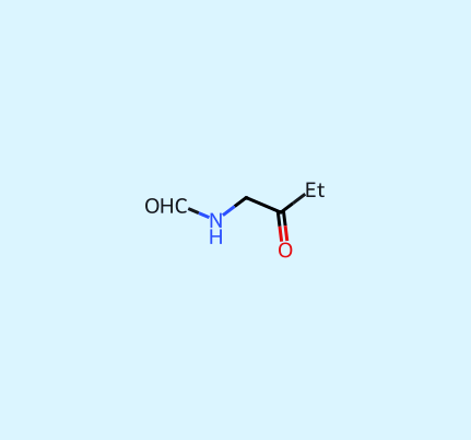 CCC(=O)CNC=O